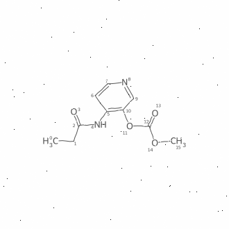 CCC(=O)Nc1ccncc1OC(=O)OC